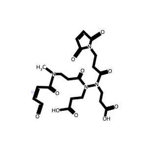 CN(CCC(=O)N(CCC(=O)O)N(CCC(=O)O)C(=O)CCN1C(=O)C=CC1=O)C(=O)/C=C\C=O